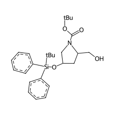 CC(C)(C)OC(=O)N1CC(O[Si](c2ccccc2)(c2ccccc2)C(C)(C)C)CC1CO